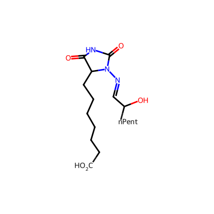 CCCCCC(O)C=NN1C(=O)NC(=O)C1CCCCCCC(=O)O